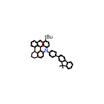 CC(C)(C)c1ccc(N(c2ccc(-c3ccc4c(c3)C(C)(C)c3ccccc3-4)cc2)c2ccccc2-c2cccc3cccc(C4CCCCC4)c23)cc1